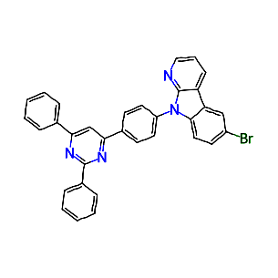 Brc1ccc2c(c1)c1cccnc1n2-c1ccc(-c2cc(-c3ccccc3)nc(-c3ccccc3)n2)cc1